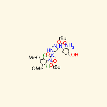 COc1cc(OC)c(Cl)c(N(C(=O)OC(C)(C)C)C(=O)N(C)C2=CC(N(C(=O)OC(C)(C)C)c3ccc(CO)cc3N)=NCN2)c1Cl